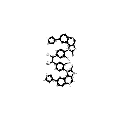 Cc1nc2cnc3ccc(-c4ccsc4)cc3c2n1-c1ccc(C(C#N)C(C#N)c2ccc(-n3c(C)nc4cnc5ccc(-c6ccsc6)cc5c43)c(Cl)c2)cc1Cl